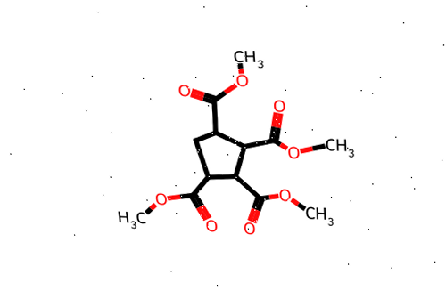 COC(=O)C1CC(C(=O)OC)C(C(=O)OC)C1C(=O)OC